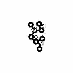 c1ccc(-c2nc(-c3cccc4c3oc3c4ccc4c(-c5ccccc5)nc5ccccc5c43)cc(-c3cccc4sc5ccccc5c34)n2)cc1